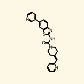 O=C(Nc1nc2ccc(-c3cccnc3)cc2s1)N1CCC(=Cc2ccccn2)CC1